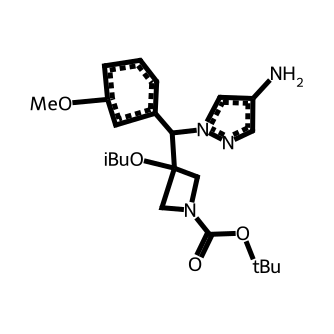 COc1cccc(C(n2cc(N)cn2)C2(OCC(C)C)CN(C(=O)OC(C)(C)C)C2)c1